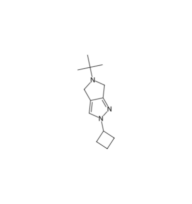 CC(C)(C)N1Cc2cn(C3CCC3)nc2C1